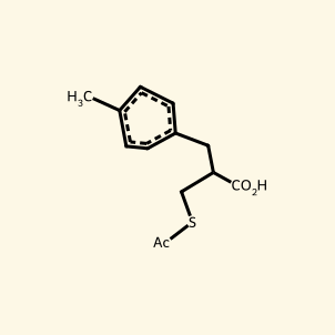 CC(=O)SCC(Cc1ccc(C)cc1)C(=O)O